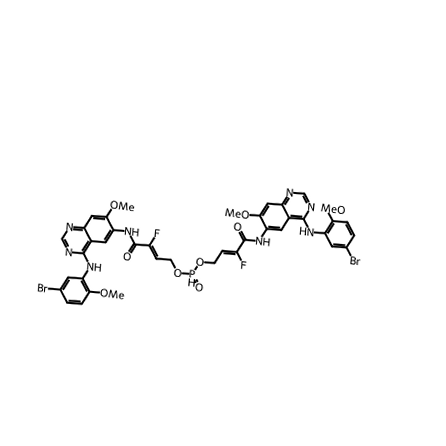 COc1cc2ncnc(Nc3cc(Br)ccc3OC)c2cc1NC(=O)C(F)=CCO[PH](=O)OCC=C(F)C(=O)Nc1cc2c(Nc3cc(Br)ccc3OC)ncnc2cc1OC